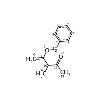 C=C(OSc1ccccc1)C(C)C(C)=O